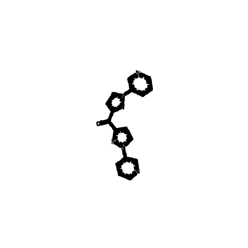 O=C(c1ccn(-c2cccnc2)n1)c1ccn(-c2cccnc2)n1